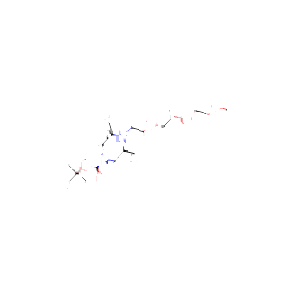 COCCOCCOCCN1C(C)CN(C(=O)OC(C)(C)C)CC1C